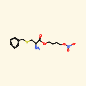 N[C@@H](CSCc1ccccc1)C(=O)OCCCCO[N+](=O)[O-]